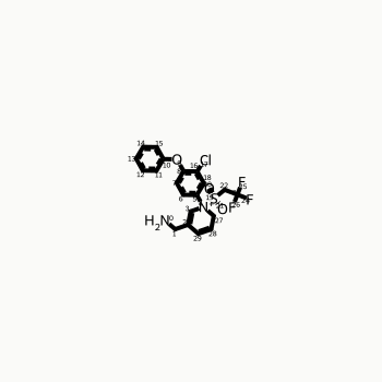 NCC1=C[N+](c2ccc(Oc3ccccc3)c(Cl)c2)(S(=O)(=O)CC(F)(F)F)CC=C1